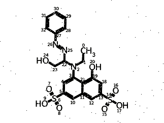 CCN(c1cc(S(=O)(=O)O)cc2cc(S(=O)(=O)O)cc(O)c12)C(CO)N=Nc1ccccc1